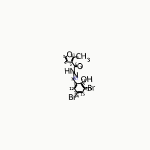 Cc1occc1C(=O)N/N=C/c1cc(Br)cc(Br)c1O